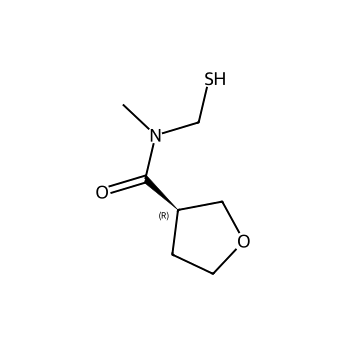 CN(CS)C(=O)[C@@H]1CCOC1